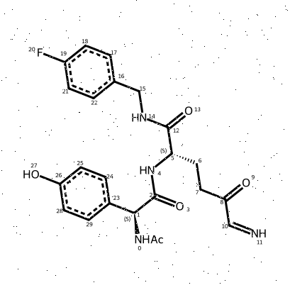 CC(=O)N[C@H](C(=O)N[C@@H](CCC(=O)C=N)C(=O)NCc1ccc(F)cc1)c1ccc(O)cc1